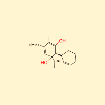 C=C(C)C1(O)C=C(CCCCCC)C(C)=C(O)[C@H]1C1C=CCCC1